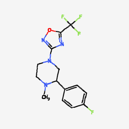 CN1CCN(c2noc(C(F)(F)F)n2)CC1c1ccc(F)cc1